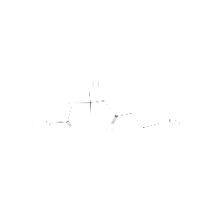 CSCCC(=O)CC(C)(C)OC(N)=O